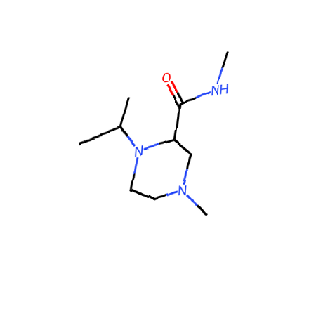 CNC(=O)C1CN(C)CCN1C(C)C